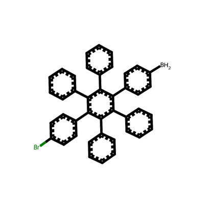 Bc1ccc(-c2c(-c3ccccc3)c(-c3ccccc3)c(-c3ccc(Br)cc3)c(-c3ccccc3)c2-c2ccccc2)cc1